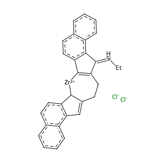 CC/[SiH]=C1\C2=[C]([Zr+2][CH]3C(=Cc4c3ccc3ccccc43)CC2)c2ccc3ccccc3c21.[Cl-].[Cl-]